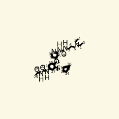 CCN(CC)CCCNC(=O)Nc1cc(Oc2ccc(NC(=O)NC(C)=O)cc2F)ccn1.c1cc2cc-2c1